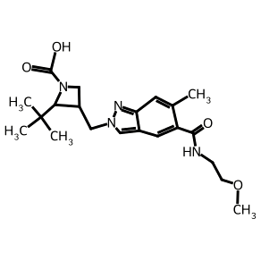 COCCNC(=O)c1cc2cn(CC3CN(C(=O)O)C3C(C)(C)C)nc2cc1C